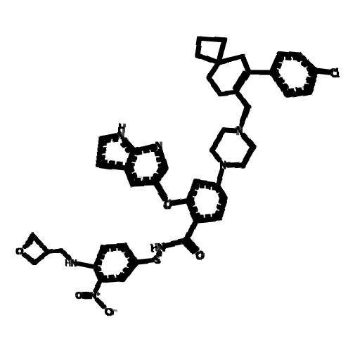 O=C(NSc1ccc(NCC2COC2)c([N+](=O)[O-])c1)c1ccc(N2CCN(CC3=C(c4ccc(Cl)cc4)CC4(CCC4)CC3)CC2)cc1Oc1cnc2[nH]ccc2c1